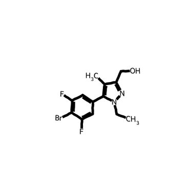 CCn1nc(CO)c(C)c1-c1cc(F)c(Br)c(F)c1